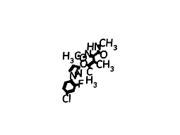 CNC(=O)C(=NOC)C(C)=C(C)Oc1ccn(-c2ccc(Cl)cc2F)n1